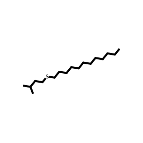 CCCCCCCCCCCCSCCC(C)C